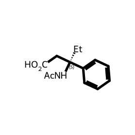 CC[C@@](CC(=O)O)(NC(C)=O)c1ccccc1